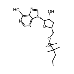 CCCC(C)(C)[Si](C)(C)OC[C@@H]1C[C@@H](O)[C@H](n2cnc3c(O)ncnc32)O1